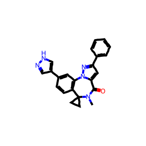 CN1C(=O)c2cc(-c3ccccc3)nn2-c2cc(-c3cn[nH]c3)ccc2C12CC2